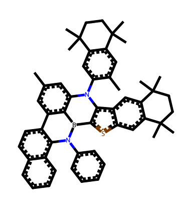 Cc1cc2c3c(c1)N(c1cc4c(cc1C)C(C)(C)CCC4(C)C)c1c(sc4cc5c(cc14)C(C)(C)CCC5(C)C)B3N(c1ccccc1)c1c-2ccc2ccccc12